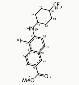 COC(=O)c1ccc2c(I)c(NC3CCC(C(F)(F)F)CC3)ccc2c1